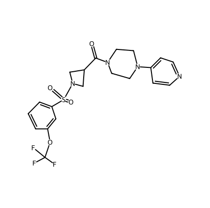 O=C(C1CN(S(=O)(=O)c2cccc(OC(F)(F)F)c2)C1)N1CCN(c2ccncc2)CC1